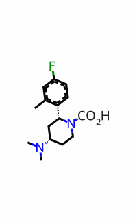 Cc1cc(F)ccc1[C@H]1C[C@@H](N(C)C)CCN1C(=O)O